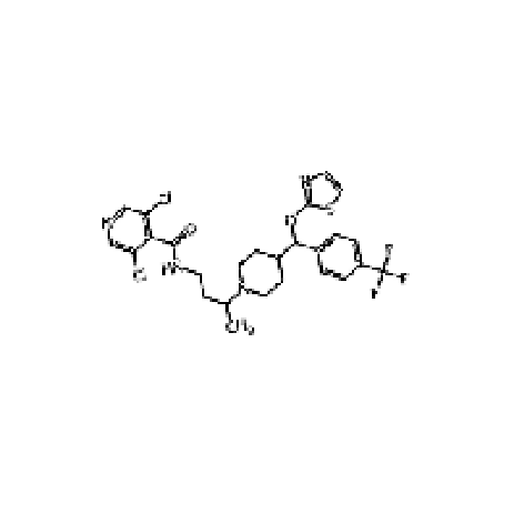 CC(CCNC(=O)c1c(Cl)cncc1Cl)N1CCC(C(Oc2nccs2)c2ccc(C(F)(F)F)cc2)CC1